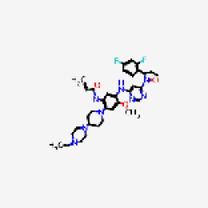 C=CC(=O)Nc1cc(Nc2cc(N3OCCC3c3ccc(F)cc3F)ncn2)c(OC)cc1N1CCC(N2CCN(CC)CC2)CC1